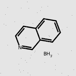 B.c1ccc2cnccc2c1